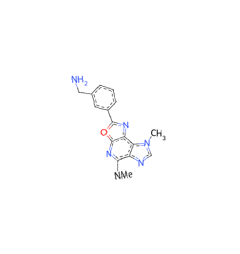 CNc1nc2oc(-c3cccc(CN)c3)nc2c2c1ncn2C